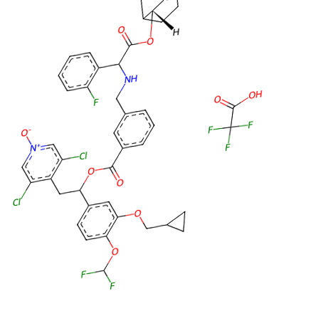 O=C(O)C(F)(F)F.O=C(OC(Cc1c(Cl)c[n+]([O-])cc1Cl)c1ccc(OC(F)F)c(OCC2CC2)c1)c1cccc(CNC(C(=O)O[C@H]2CN3CCC2CC3)c2ccccc2F)c1